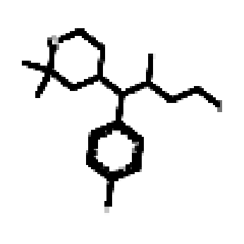 CC(CCI)C(c1ccc(F)cc1)C1CCOC(C)(C)C1